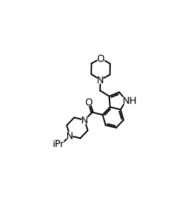 CC(C)N1CCN(C(=O)c2cccc3[nH]cc(CN4CCOCC4)c23)CC1